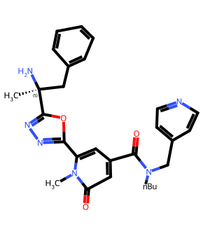 CCCCN(Cc1ccncc1)C(=O)c1cc(-c2nnc([C@@](C)(N)Cc3ccccc3)o2)n(C)c(=O)c1